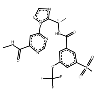 CNC(=O)c1cc(-n2ncnc2[C@H](C)NC(=O)c2cc(OC(F)(F)F)cc(S(C)(=O)=O)c2)ncn1